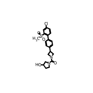 CS(=O)(=O)c1cc(Cl)ccc1-c1ccc(C2CN(C(=O)N3CCC(O)C3)C2)cc1